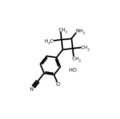 CC1(C)C(N)C(C)(C)C1c1ccc(C#N)c(Cl)c1.Cl